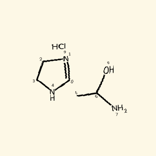 C1=NCCN1.CC(N)O.Cl